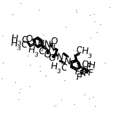 CCCc1cc(C(O)(C(F)(F)F)C(F)(F)F)ccc1N1CCN(C(=O)CN2C(=O)N[C@](C)(c3ccc4c(c3)CC(C)(C)O4)C2=O)CC1C